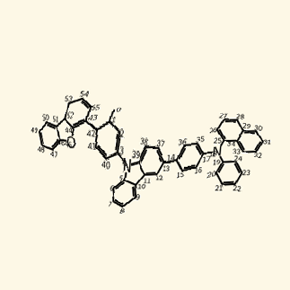 CC1C=C(n2c3ccccc3c3cc(-c4ccc(N(c5ccccc5)c5cccc6ccccc56)cc4)ccc32)C=CC1C1=C2Oc3ccccc3C2CC=C1